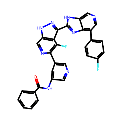 O=C(Nc1cncc(-c2ncc3[nH]nc(-c4nc5c(-c6ccc(F)cc6)cncc5[nH]4)c3c2F)c1)c1ccccc1